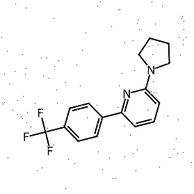 FC(F)(F)c1ccc(-c2cccc(N3CCCC3)n2)cc1